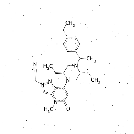 CCc1ccc(C(C)N2C[C@H](CC)N(c3cc(=O)n(C)c4cn(CC#N)nc34)C[C@H]2CC)cc1